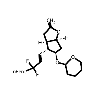 C=C1C[C@@H]2[C@@H](/C=C/C(F)(F)CCCCC)[C@H](OC3CCCCO3)C[C@@H]2O1